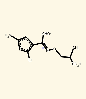 CC(CO/N=C(\[C]=O)c1nc(N)sc1Cl)C(=O)O